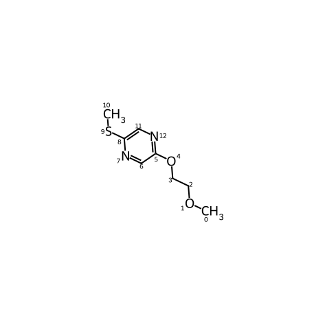 COCCOc1cnc(SC)cn1